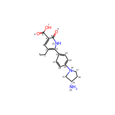 CCc1cc(C(=O)O)c(=O)[nH]c1-c1ccc(N2CC[C@H](N)C2)cc1